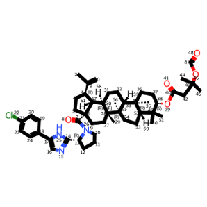 C=C(C)[C@@H]1CC[C@]2(C(=O)N3CCC[C@@H]3c3ncc(-c4ccc(Cl)cc4)[nH]3)CC[C@]3(C)[C@H](CC[C@@H]4[C@@]5(C)CC[C@H](OC(=O)CC(C)(C)OC=O)C(C)(C)[C@@H]5CC[C@]43C)[C@@H]12